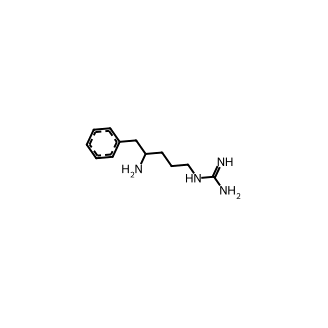 N=C(N)NCCCC(N)Cc1ccccc1